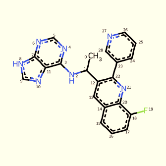 CC(Nc1ncnc2[nH]cnc12)c1cc2cccc(F)c2nc1-c1cccnc1